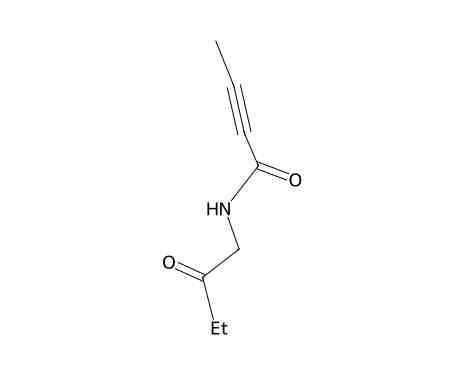 CC#CC(=O)NCC(=O)CC